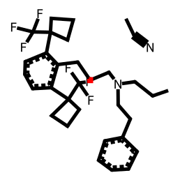 CC#N.CCCN(CCCc1c(C2(C(F)(F)F)CCC2)cccc1C1(C(F)(F)F)CCC1)CCc1ccccc1